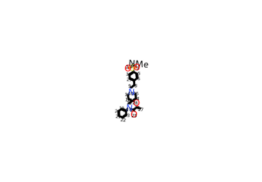 CNS(=O)(=O)c1ccc(CCN2CCC3(CC2)CN(c2ccccc2)C(=O)C(C)O3)cc1